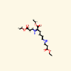 CCOC(=O)CCNCCCCC(NCCC(=O)OCC)C(=O)OCC